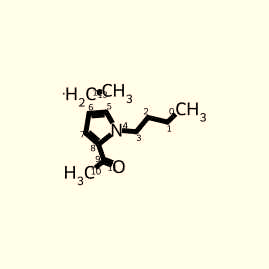 CCCCn1cccc1C(C)=O.[CH2]C